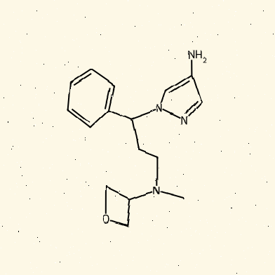 CN(CCC(c1ccccc1)n1cc(N)cn1)C1COC1